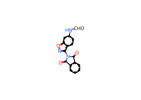 O=CNc1ccc2c(N3C(=O)c4ccccc4C3=O)noc2c1